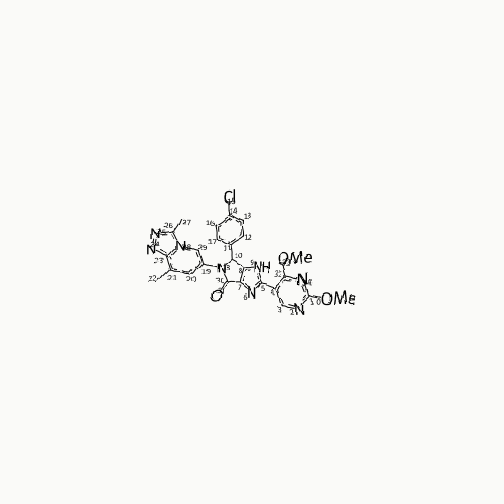 COc1ncc(-c2nc3c([nH]2)C(c2ccc(Cl)cc2)N(c2cc(C)c4nnc(C)n4c2)C3=O)c(OC)n1